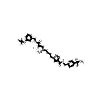 CC(F)(F)c1ccc(CNC(=O)c2cn(CCCCN(N)/C=C(\N)C(=O)NCc3cccc(OC(F)(F)F)c3)nn2)nc1